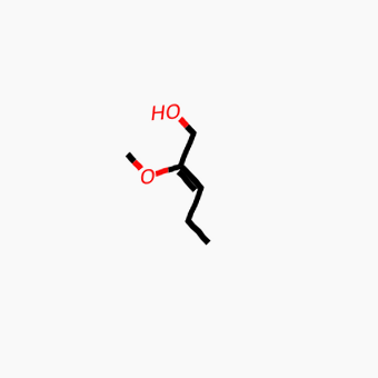 CCC=C(CO)OC